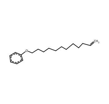 C=CCCCCCCCCCCOc1ccccc1